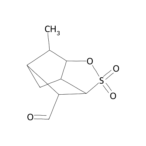 CC1C2CC3C1OS(=O)(=O)C3C2C=O